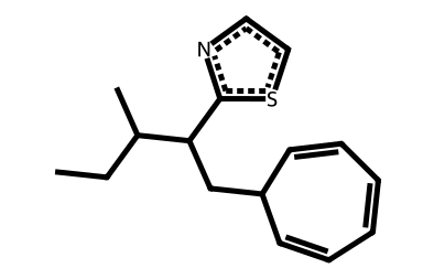 CCC(C)C(CC1C=CC=CC=C1)c1nccs1